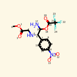 COC(=O)CN[C@@H](c1ccc([N+](=O)[O-])cc1)C(N)OC(=O)C(F)(F)F